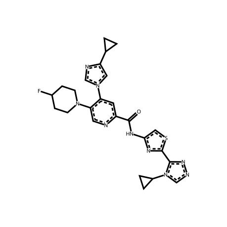 O=C(Nc1csc(-c2nncn2C2CC2)n1)c1cc(-n2cnc(C3CC3)c2)c(N2CCC(F)CC2)cn1